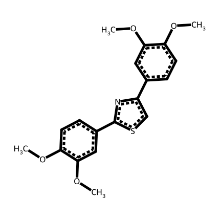 COc1ccc(-c2csc(-c3ccc(OC)c(OC)c3)n2)cc1OC